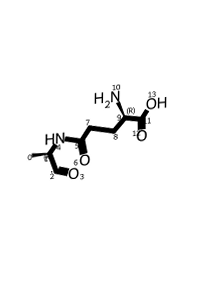 C[C@H]([C]=O)NC(=O)CC[C@@H](N)C(=O)O